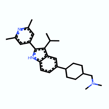 Cc1cc(-c2[nH]c3ccc(C4CCC(CN(C)C)CC4)cc3c2C(C)C)cc(C)n1